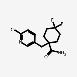 NC(=O)C1([CH]c2ccc(Cl)nc2)CCC(F)(F)CC1